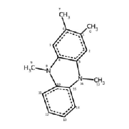 Cc1cc2c(cc1C)N(C)c1ccccc1N2C